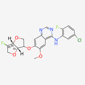 COc1cc2c(Nc3cc(Cl)ccc3F)ncnc2cc1OC1CO[C@H]2[C@H](F)CO[C@@H]12